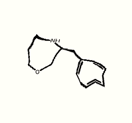 c1ccc(C[C@H]2COCCCN2)cc1